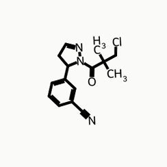 CC(C)(CCl)C(=O)N1N=CCC1c1cccc(C#N)c1